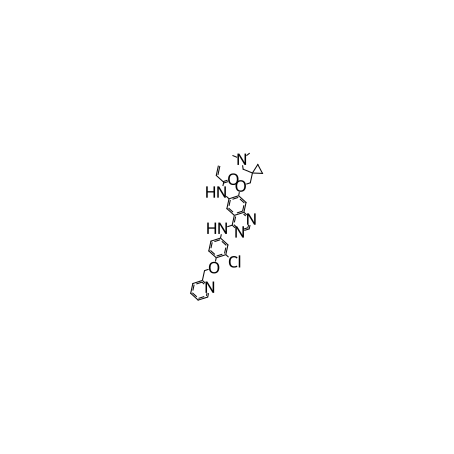 C=CC(=O)Nc1cc2c(Nc3ccc(OCc4ccccn4)c(Cl)c3)ncnc2cc1OCC1(CN(C)C)CC1